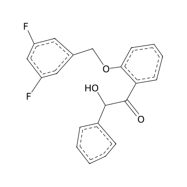 O=C(c1ccccc1OCc1cc(F)cc(F)c1)C(O)c1ccccc1